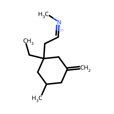 C=C1CC(C)CC(CC)(C/C=N\C)C1